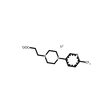 O=C([O-])CCN1CCN(c2ccc(C(F)(F)F)nc2)CC1.[Li+]